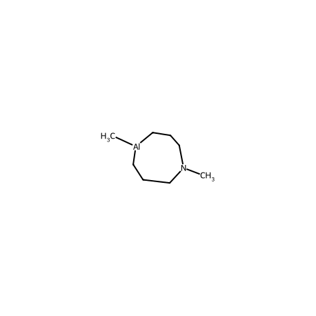 CN1CC[CH2][Al]([CH3])[CH2]CC1